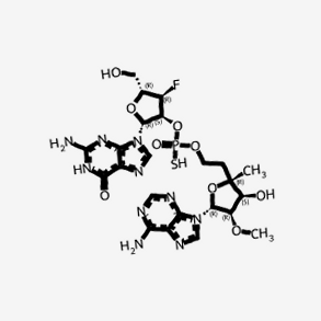 CO[C@H]1[C@H](n2cnc3c(N)ncnc32)O[C@](C)(CCOP(=O)(S)O[C@@H]2[C@H](F)[C@@H](CO)O[C@H]2n2cnc3c(=O)[nH]c(N)nc32)[C@H]1O